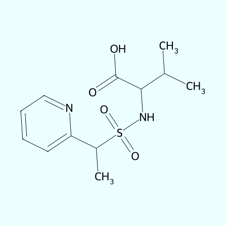 CC(C)C(NS(=O)(=O)C(C)c1ccccn1)C(=O)O